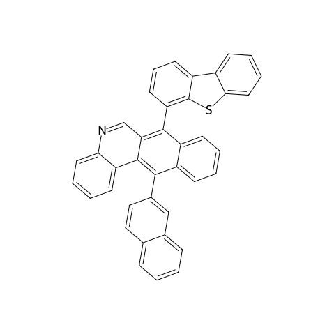 c1ccc2cc(-c3c4ccccc4c(-c4cccc5c4sc4ccccc45)c4cnc5ccccc5c34)ccc2c1